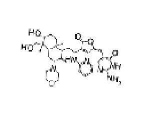 C=C1C(N2CCOCC2)CC2[C@](C)(CC[C@@H](O)[C@@]2(C)CO)C1CC(Nc1ccccn1)C1=C/C(=C\c2cnc(N)[nH]c2=O)OC1=O